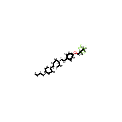 CCCC[C@H]1CC[C@H]([C@H]2CC[C@H](CCc3ccc(OCC(F)(F)C(F)(F)F)cc3)CC2)CC1